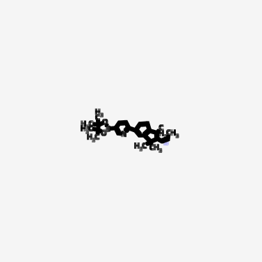 C/C=C\C1=C(C)c2ccc(-c3ccc(B4OC(C)(C)C(C)(C)O4)cn3)cc2C1(C)C